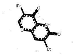 CCc1cc2occ(C(C)C)c(=O)c2[nH]c1=O